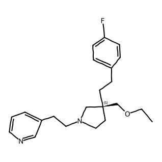 CCOC[C@@]1(CCc2ccc(F)cc2)CCN(CCc2cccnc2)C1